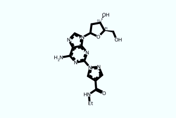 CCNC(=O)c1cnn(-c2nc(N)c3ncn(C4C[C@H](O)[C@@H](CO)O4)c3n2)c1